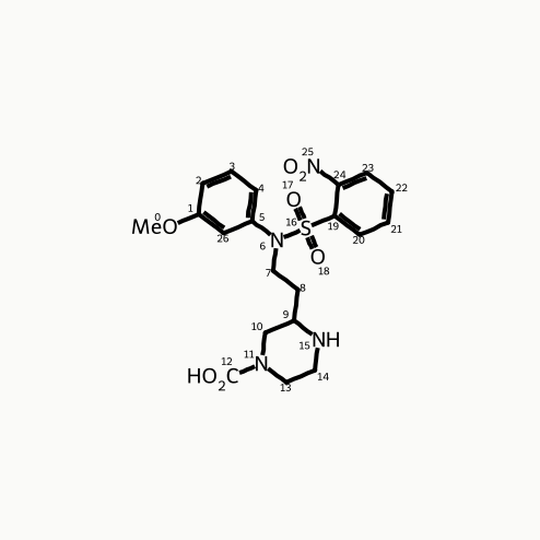 COc1cccc(N(CCC2CN(C(=O)O)CCN2)S(=O)(=O)c2ccccc2[N+](=O)[O-])c1